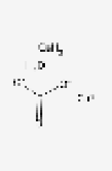 O.O=C([O-])[O-].[Ca+2].[CaH2]